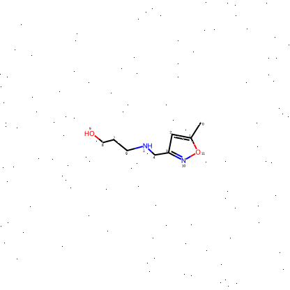 Cc1cc(CNCCCO)no1